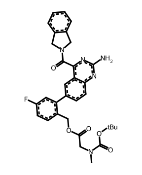 CN(CC(=O)OCc1ccc(F)cc1-c1ccc2nc(N)nc(C(=O)N3Cc4ccccc4C3)c2c1)C(=O)OC(C)(C)C